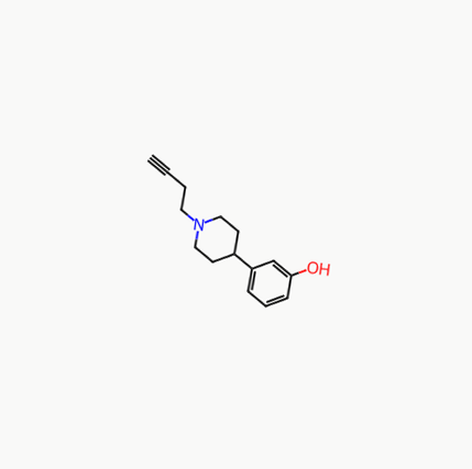 C#CCCN1CCC(c2cccc(O)c2)CC1